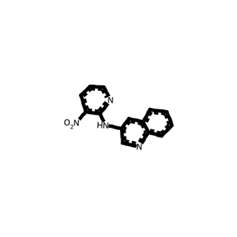 O=[N+]([O-])c1cccnc1Nc1cnc2ccccc2c1